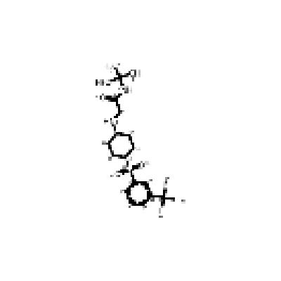 CC(C)(C)NC(=O)CN[C@H]1CC[C@@H](S(=O)(=O)c2cccc(C(F)(F)F)c2)CC1